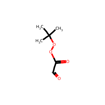 CC(C)(C)OOC(=O)[C]=O